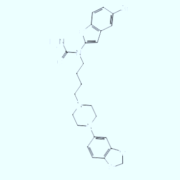 NC(=O)N(CCCCN1CCN(c2ccc3c(c2)OCO3)CC1)c1cc2cc(Br)ccc2o1